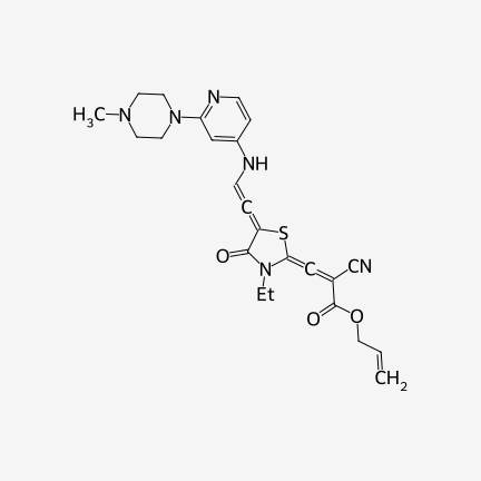 C=CCOC(=O)C(=C=c1sc(=C=CNc2ccnc(N3CCN(C)CC3)c2)c(=O)n1CC)C#N